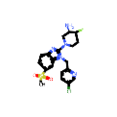 CS(=O)(=O)c1ccc2nc(N3CCC(F)[C@H](N)C3)n(Cc3ccc(Cl)cn3)c2c1